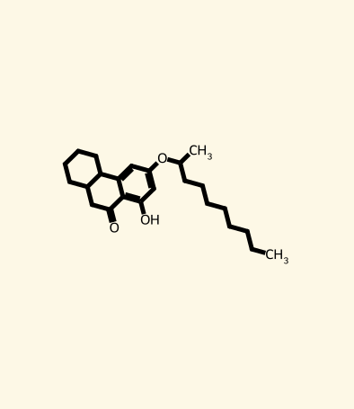 CCCCCCCCC(C)Oc1cc(O)c2c(c1)C1CCCCC1CC2=O